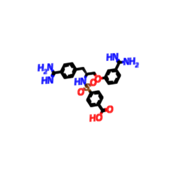 N=C(N)c1ccc(C[C@@H](COc2cccc(C(=N)N)c2)NS(=O)(=O)c2ccc(C(=O)O)cc2)cc1